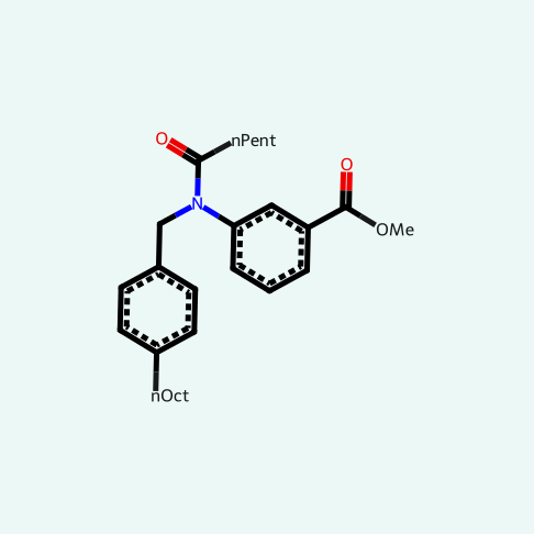 CCCCCCCCc1ccc(CN(C(=O)CCCCC)c2cccc(C(=O)OC)c2)cc1